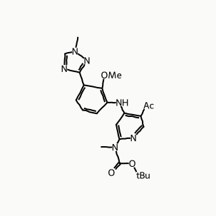 COc1c(Nc2cc(N(C)C(=O)OC(C)(C)C)ncc2C(C)=O)cccc1-c1ncn(C)n1